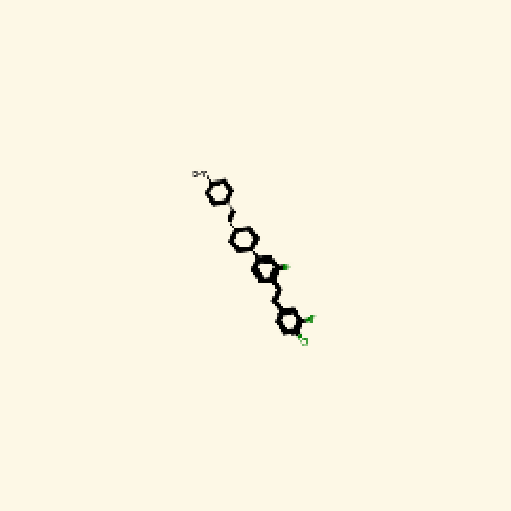 CCC[C@H]1CC[C@H](CC[C@H]2CC[C@H](c3ccc(CCc4ccc(Cl)c(F)c4)c(F)c3)CC2)CC1